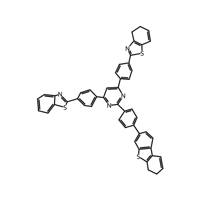 C1=Cc2sc(-c3ccc(-c4cc(-c5ccc(-c6nc7ccccc7s6)cc5)nc(-c5ccc(-c6ccc7c8c(sc7c6)CCC=C8)cc5)n4)cc3)nc2CC1